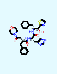 O=C(N[C@@H](Cc1c[nH]cn1)C(=O)N[C@H](CC1CCCCC1)[C@H](O)c1nccs1)[C@@H](CC(=O)N1CCOCC1)Cc1ccccc1